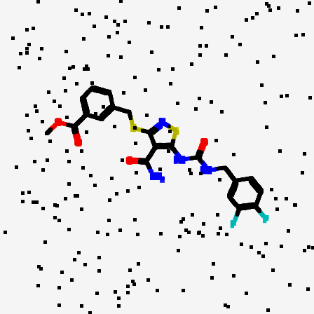 COC(=O)c1cccc(CSc2nsc(NC(=O)NCc3ccc(F)c(F)c3)c2C(N)=O)c1